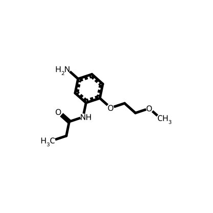 CCC(=O)Nc1cc(N)ccc1OCCOC